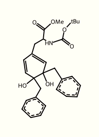 COC(=O)C(CC1=CC(O)(Cc2ccccc2)C(O)(Cc2ccccc2)C=C1)NC(=O)OC(C)(C)C